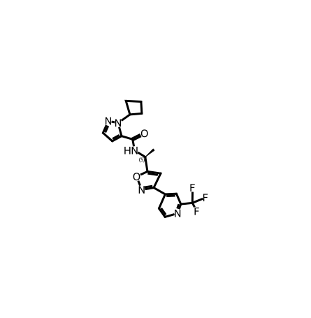 C[C@H](NC(=O)c1ccnn1C1CCC1)c1cc(-c2ccnc(C(F)(F)F)c2)no1